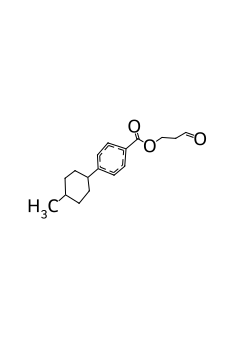 CC1CCC(c2ccc(C(=O)OCCC=O)cc2)CC1